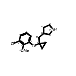 COc1c(Cl)cccc1OC1(CC2CCNC2)CC1